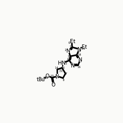 CCc1nc2c(N[C@H]3CCN(C(=O)OC(C)(C)C)C3)ncnc2n1CC